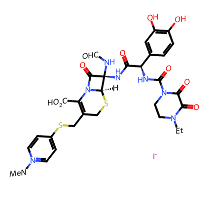 CCN1CCN(C(=O)N[C@@H](C(=O)N[C@]2(NC=O)C(=O)N3C(C(=O)O)=C(CSc4cc[n+](NC)cc4)CS[C@@H]32)c2ccc(O)c(O)c2)C(=O)C1=O.[I-]